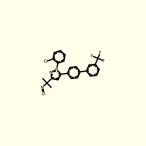 CC(C)(N=O)c1cc(-c2ccc(-c3cccc(C(F)(F)F)c3)cc2)n(-c2ccccc2Cl)n1